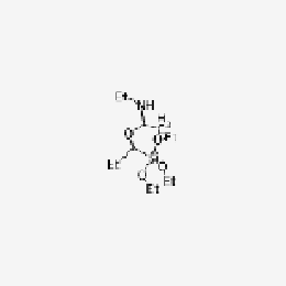 CCNC(C)OC(CC)[Si](OCC)(OCC)OCC